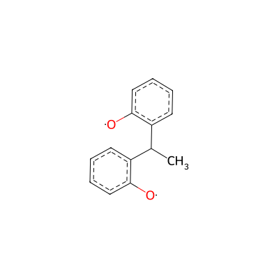 CC(c1ccccc1[O])c1ccccc1[O]